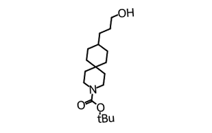 CC(C)(C)OC(=O)N1CCC2(CCC(CCCO)CC2)CC1